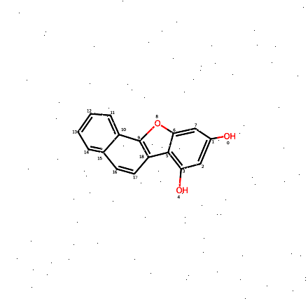 Oc1cc(O)c2c(c1)oc1c3ccccc3ccc12